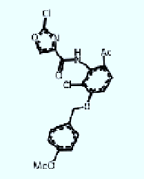 COc1ccc(COc2ccc(C(C)=O)c(NC(=O)c3coc(Cl)n3)c2Cl)cc1